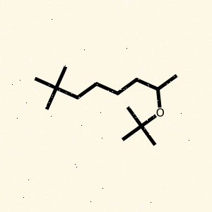 CC(CCCCC(C)(C)C)OC(C)(C)C